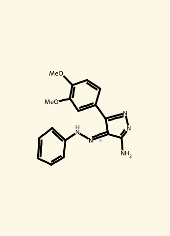 COc1ccc(C2=NN=C(N)/C2=N/Nc2ccccc2)cc1OC